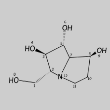 OC[C@@H]1[C@@H](O)[C@H](O)C2[C@@H](O)CCN21